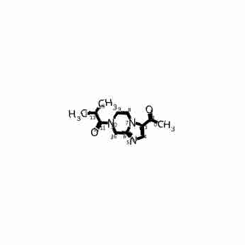 CC(=O)c1cnc2n1CCN(C(=O)C(C)C)C2